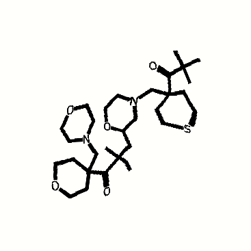 CC(C)(C)C(=O)C1(CN2CCOC(CC(C)(C)C(=O)C3(CN4CCOCC4)CCOCC3)C2)CCSCC1